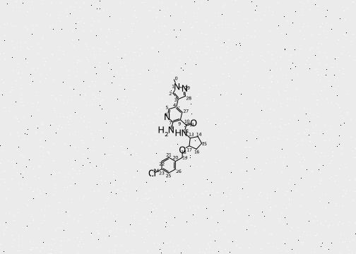 Cn1cc(-c2cnc(N)c(C(=O)NC3CCCC3OCc3ccc(Cl)cc3)c2)cn1